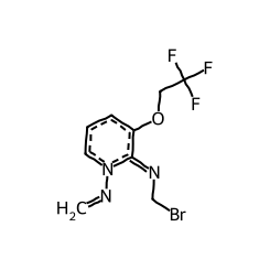 C=Nn1cccc(OCC(F)(F)F)/c1=N/CBr